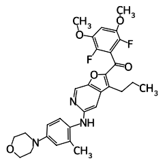 CCCc1c(C(=O)c2c(F)c(OC)cc(OC)c2F)oc2cnc(Nc3ccc(N4CCOCC4)cc3C)cc12